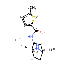 Cc1ccc(C(=O)N[C@@H]2C[C@H]3CC[C@@H]2N3)s1.Cl